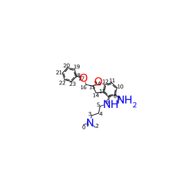 CN(C)CCCNc1c(N)ccc2c1CC(COc1ccccc1)O2